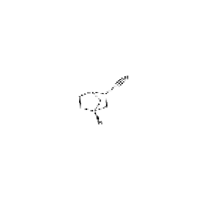 N#CC1C[C@@H]2CCC1C2